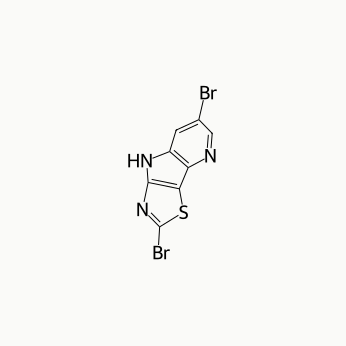 Brc1cnc2c(c1)[nH]c1nc(Br)sc12